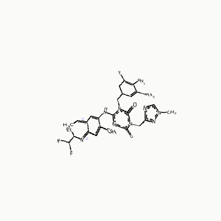 C/C=C1/C=C(Nc2nc(=O)n(Cc3ncn(C)n3)c(=O)n2CC2C=C(P)C(P)=C(F)C2)C(O)=C/C1=N/C(CC)C(F)F